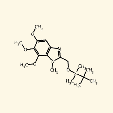 COc1cc2nc(CO[Si](C)(C)C(C)(C)C)n(C)c2c(OC)c1OC